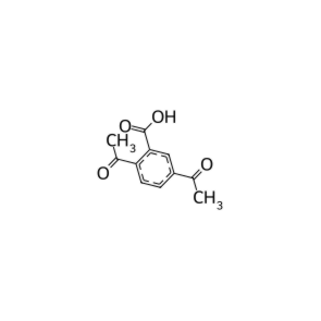 CC(=O)c1ccc(C(C)=O)c(C(=O)O)c1